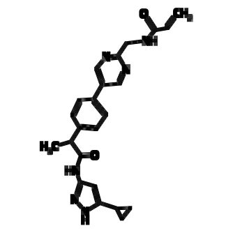 C=CC(=O)NCc1ncc(-c2ccc(C(C)C(=O)Nc3cc(C4CC4)[nH]n3)cc2)cn1